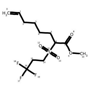 C=CCCCCC(C(=O)OC)S(=O)(=O)CCC(F)(F)F